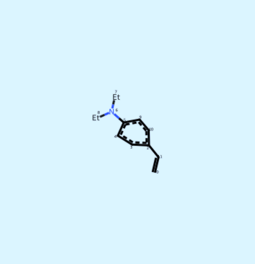 C=[C]c1ccc(N(CC)CC)cc1